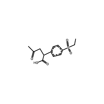 CCS(=O)(=O)c1ccc(C(CC(C)=O)C(=O)O)cc1